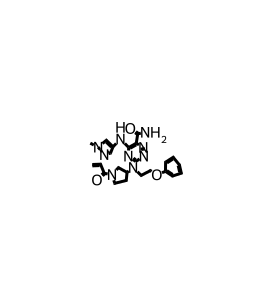 C=CC(=O)N1CCC(N(CCOc2ccccc2)c2nnc(C(N)=O)c(Nc3cnn(C)c3)n2)C1